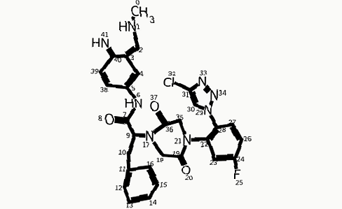 CN/C=C1/C=C(NC(=O)C(Cc2ccccc2)N2CC(=O)N(c3cc(F)ccc3-n3cc(Cl)nn3)CC2=O)C=CC1=N